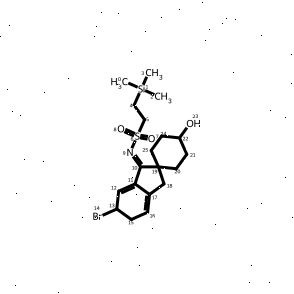 C[Si](C)(C)CCS(=O)(=O)/N=C1/C2=CC(Br)CC=C2CC12CCC(O)CC2